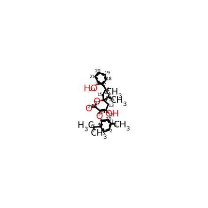 Cc1ccc(C(C)C)c(OC2=C(O)CC(CCc3ccccc3O)(C(C)C)OC2=O)c1